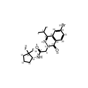 CC(C)c1nn(CC(=O)N[C@@H]2CCCC2(F)F)c(=O)c2ccc(Br)cc12